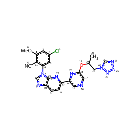 COc1cc(Cl)cc(-n2cnc3ccc(-c4cncc(OC(C)Cn5cnnn5)n4)nc32)c1C#N